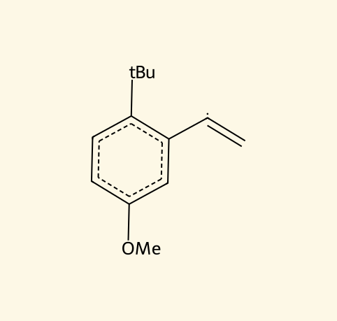 C=[C]c1cc(OC)ccc1C(C)(C)C